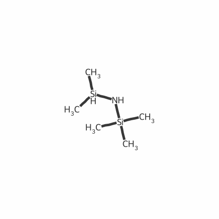 C[SiH](C)N[Si](C)(C)C